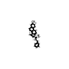 C[C@H]1CCC2C(CC[C@@H]3C2CCC2(C)C3CC[C@@H]2C(=O)NCc2ccccc2)C1